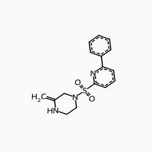 C=C1CN(S(=O)(=O)c2cccc(-c3ccccc3)n2)CCN1